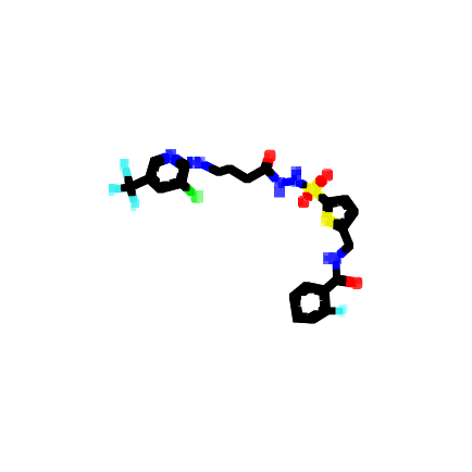 O=C(CCCNc1ncc(C(F)(F)F)cc1Cl)NNS(=O)(=O)c1ccc(CNC(=O)c2ccccc2F)s1